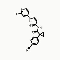 N#Cc1ccc(C2(C(=O)NC(=N)/C=C\Nc3ccnc(F)c3)CC2)cc1